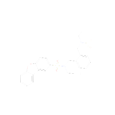 CCOC(=O)CN(Cc1ccccc1CN(CC(=O)OCC)S(=O)(=O)c1ccc2oc3ccccc3c2c1)[SH](=O)=O